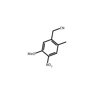 COc1cc(CC#N)c(C)cc1[N+](=O)[O-]